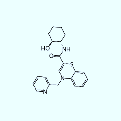 O=C(N[C@H]1CCCC[C@@H]1O)C1=CN(Cc2ccccn2)c2ccccc2S1